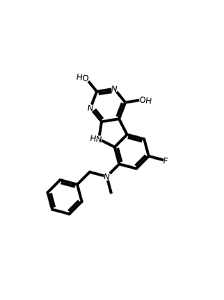 CN(Cc1ccccc1)c1cc(F)cc2c1[nH]c1nc(O)nc(O)c12